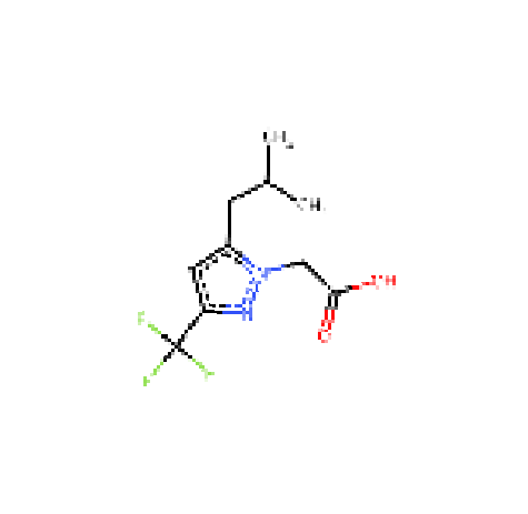 CC(C)Cc1cc(C(F)(F)F)nn1CC(=O)O